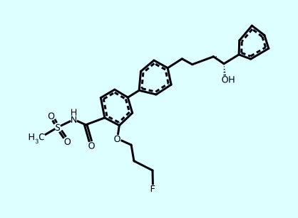 CS(=O)(=O)NC(=O)c1ccc(-c2ccc(CC[CH][C@@H](O)c3ccccc3)cc2)cc1OCCCF